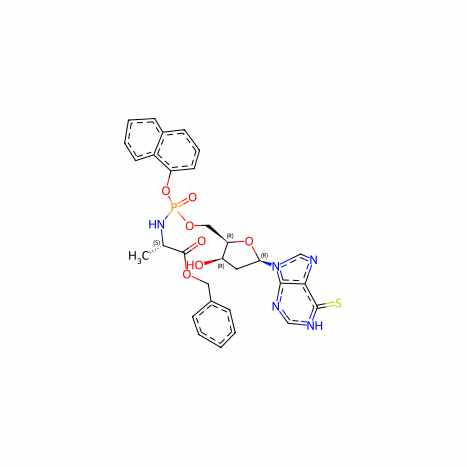 C[C@H](NP(=O)(OC[C@H]1O[C@@H](n2cnc3c(=S)[nH]cnc32)C[C@H]1O)Oc1cccc2ccccc12)C(=O)OCc1ccccc1